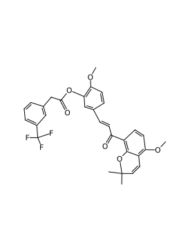 COc1ccc(C=CC(=O)c2ccc(OC)c3c2OC(C)(C)C=C3)cc1OC(=O)Cc1cccc(C(F)(F)F)c1